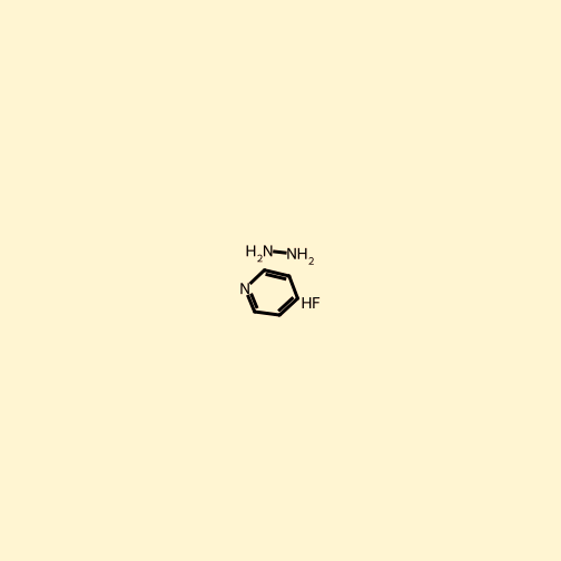 F.NN.c1ccncc1